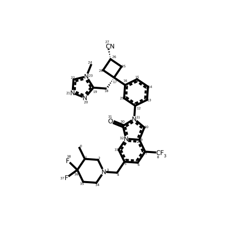 CC1CN(Cc2cc(C(F)(F)F)c3cn(-c4cccc([C@]5(Cc6nncn6C)C[C@@H](C#N)C5)c4)c(=O)n3c2)CCC1(F)F